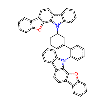 C1=CC(n2c3ccccc3c3ccc4c5ccccc5oc4c32)CC(c2ccccc2-n2c3ccccc3c3ccc4c5ccccc5oc4c32)=C1